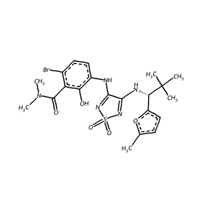 Cc1ccc([C@H](NC2=NS(=O)(=O)N=C2Nc2ccc(Br)c(C(=O)N(C)C)c2O)C(C)(C)C)o1